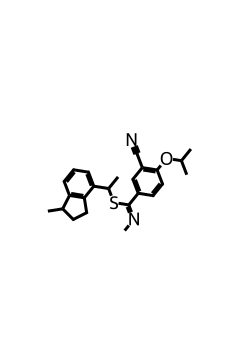 C/N=C(\SC(C)c1cccc2c1CCC2C)c1ccc(OC(C)C)c(C#N)c1